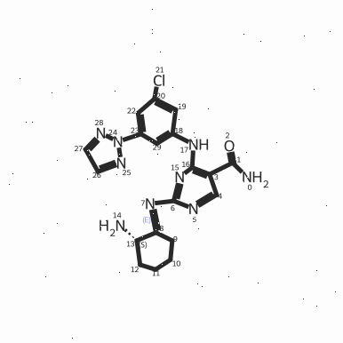 NC(=O)c1cnc(/N=C2\CCCC[C@@H]2N)nc1Nc1cc(Cl)cc(-n2nccn2)c1